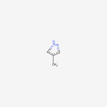 [CH2]c1cn[nH]c1